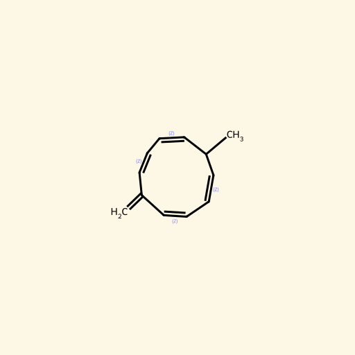 C=C1/C=C\C=C/C(C)/C=C\C=C/1